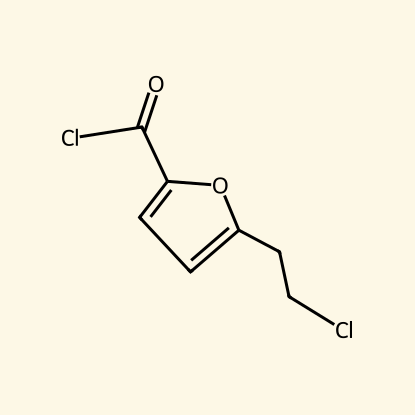 O=C(Cl)c1ccc(CCCl)o1